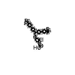 O=C(O)COc1ccc(OCC=C(c2ccc(-c3ccc(C(F)(F)F)cc3)cc2)c2ccc(-c3ccc(C(F)(F)F)cc3)cc2)cc1Cl